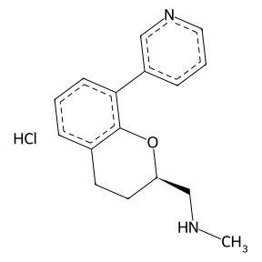 CNC[C@H]1CCc2cccc(-c3cccnc3)c2O1.Cl